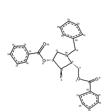 O=C(OC[C@@H]1[C@@H](F)[C@H](OC(=O)c2ccccc2)CN1Cc1ccccc1)c1ccccc1